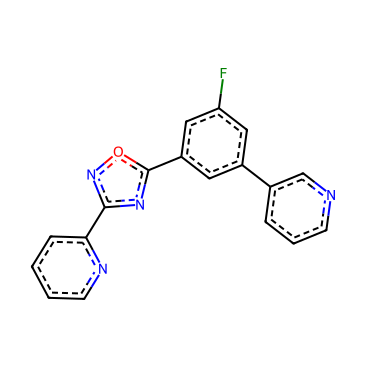 Fc1cc(-c2cccnc2)cc(-c2nc(-c3ccccn3)no2)c1